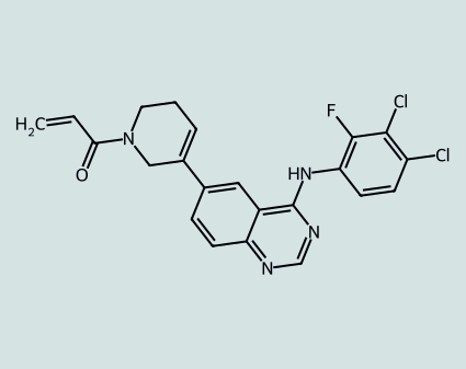 C=CC(=O)N1CCC=C(c2ccc3ncnc(Nc4ccc(Cl)c(Cl)c4F)c3c2)C1